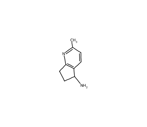 Cc1ccc2c(n1)CCC2N